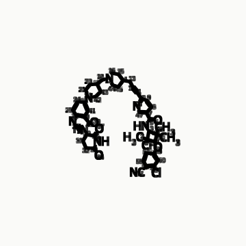 CC1(C)[C@H](NC(=O)c2ccc(C#CCC3CCN(CC4CCN(c5ccc6nnn(C7CCC(=O)NC7=O)c(=O)c6c5)CC4)CC3)nc2)C(C)(C)[C@H]1Oc1ccc(C#N)c(Cl)c1